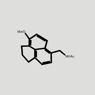 COc1ccc2c(CNC(C)=O)ccc3c2c1CCC3